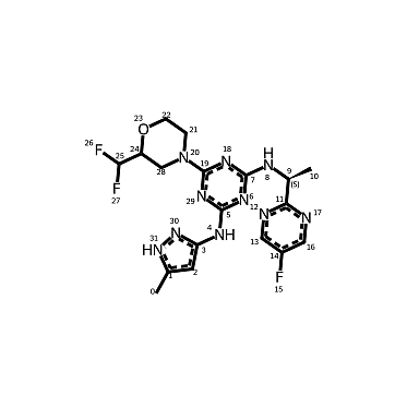 Cc1cc(Nc2nc(N[C@@H](C)c3ncc(F)cn3)nc(N3CCOC(C(F)F)C3)n2)n[nH]1